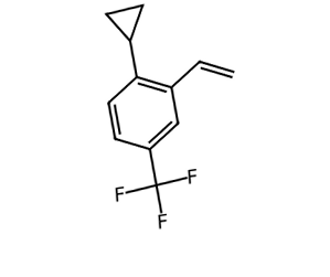 C=Cc1cc(C(F)(F)F)ccc1C1CC1